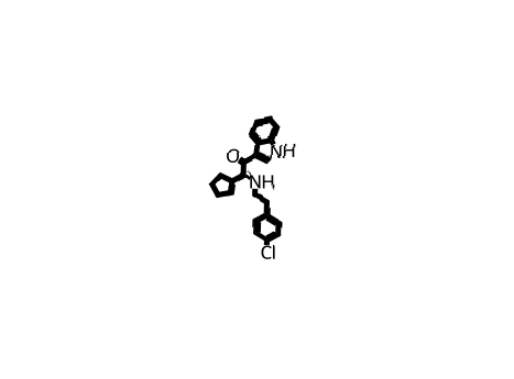 O=C(c1c[nH]c2ccccc12)[C@@H](NCCc1ccc(Cl)cc1)C1CCCC1